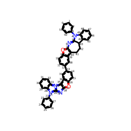 c1ccc(N2C3=Nc4oc5ccc(-c6ccc7oc8nc9n(-c%10ccccc%10)c%10ccccc%10n9c8c7c6)cc5c4CCC3c3ccccc32)cc1